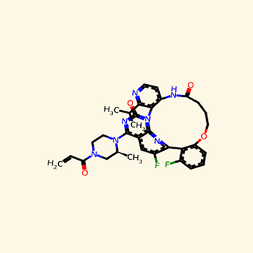 C=CC(=O)N1CCN(c2nc(=O)n3c4nc(c(F)cc24)-c2c(F)cccc2OCCCC(=O)Nc2ccnc(C(C)C)c2-3)[C@@H](C)C1